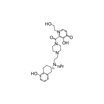 CCCN(CCN1CCN(C(=O)c2c(O)c(=O)ccn2CCO)CC1)[C@H]1CCc2c(O)cccc2C1